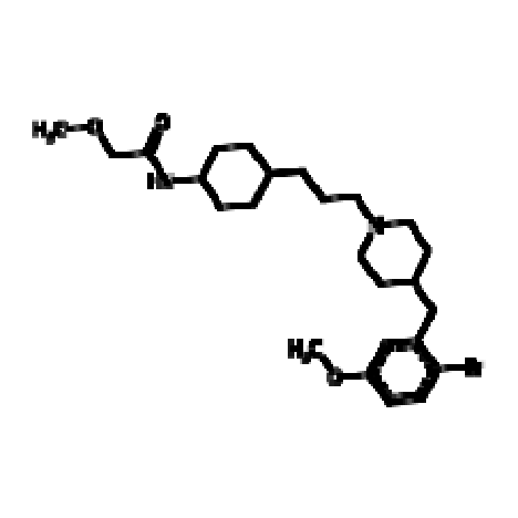 COCC(=O)NC1CCC(CCCN2CCC(Cc3cc(OC)ccc3Br)CC2)CC1